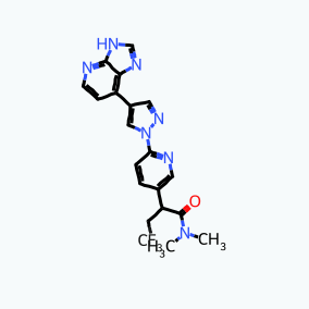 CN(C)C(=O)C(CC(F)(F)F)c1ccc(-n2cc(-c3ccnc4[nH]cnc34)cn2)nc1